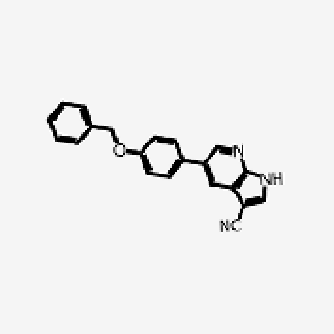 N#Cc1c[nH]c2ncc(-c3ccc(OCc4ccccc4)cc3)cc12